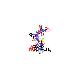 CC[C@@]1(O)C(=O)OCc2c1cc1n(c2=O)Cc2c-1nc1cc(F)c(C)c3c1c2[C@@H](NC(=O)[C@H](OCNC(=O)CNC(=O)[C@H](Cc1ccccc1)NC(=O)CNC(=O)CNC(=O)[C@@H](CNCC(=O)O)N1CC(C=O)=CC1=O)C(F)(F)F)CC3